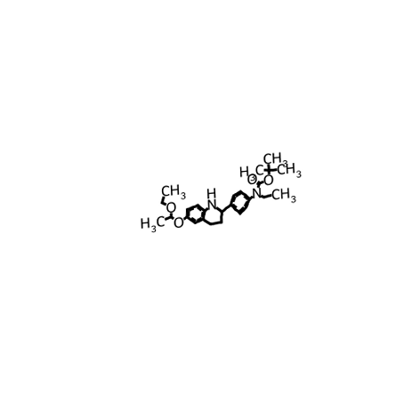 CCOC(C)Oc1ccc2c(c1)CCC(c1ccc(N(CC)C(=O)OC(C)(C)C)cc1)N2